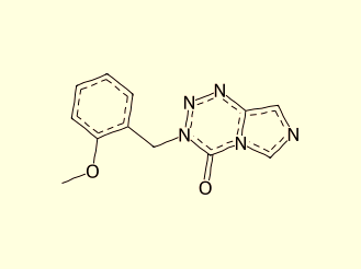 COc1ccccc1Cn1nnc2cncn2c1=O